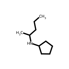 CCCC(C)NC1CCCC1